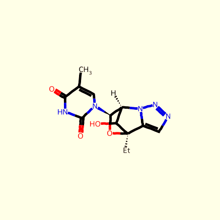 CC[C@]12O[C@@H](n3cc(C)c(=O)[nH]c3=O)[C@H](C1O)n1nncc12